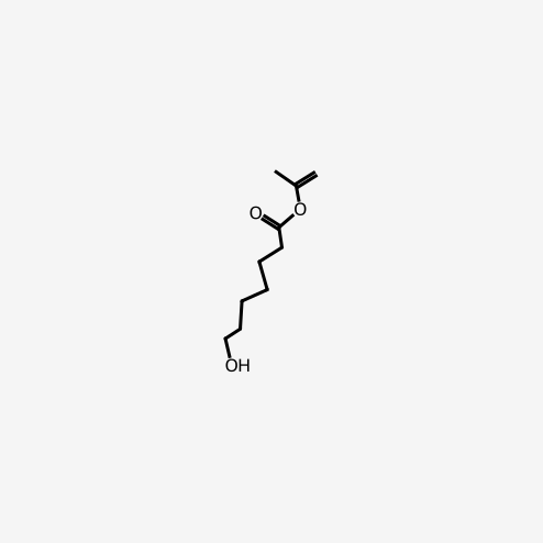 C=C(C)OC(=O)CCCCCCO